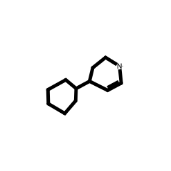 C1=CC(C2CCCCC2)CC[N]1